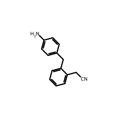 N#CCc1ccccc1Cc1ccc(N)cc1